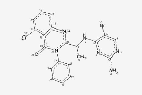 CC(Nc1nc(N)ncc1Br)c1nc2cccc(Cl)c2c(=O)n1-c1ccccc1